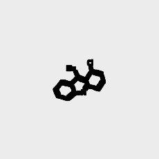 CCC(C)c1c2ccccc2nc2cccc(Cl)c12